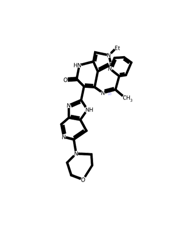 CCn1cc2[nH]c(=O)c(-c3nc4cnc(N5CCOCC5)cc4[nH]3)c(/N=C(/C)c3ccccn3)c2n1